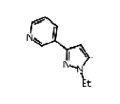 CCn1[c]cc(-c2cccnc2)n1